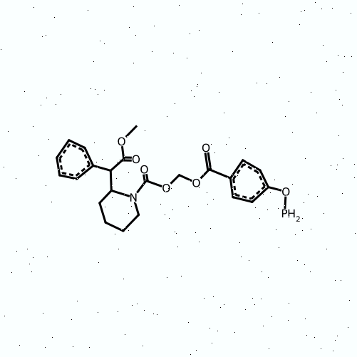 COC(=O)C(c1ccccc1)C1CCCCN1C(=O)OCOC(=O)c1ccc(OP)cc1